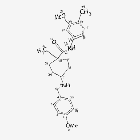 COc1ccc(CNC2CCC(C)(C(=O)Nc3ccc(C)c(OC)c3)CC2)cc1